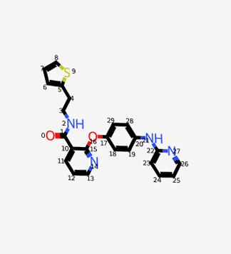 O=C(NCCc1cccs1)c1cccnc1Oc1ccc(Nc2ccccn2)cc1